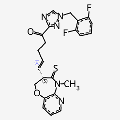 CN1C(=S)[C@@H](/C=C/CCC(=O)c2ncn(Cc3c(F)cccc3F)n2)COc2cccnc21